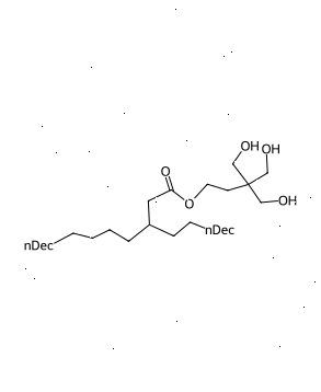 CCCCCCCCCCCCCCC(CCCCCCCCCCCC)CC(=O)OCCC(CO)(CO)CO